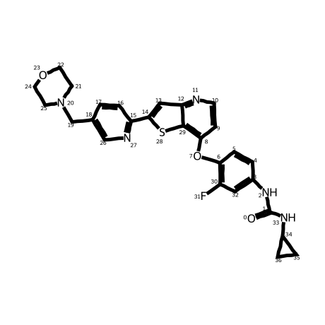 O=C(Nc1ccc(Oc2ccnc3cc(-c4ccc(CN5CCOCC5)cn4)sc23)c(F)c1)NC1CC1